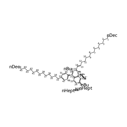 CCCCCCCCCCCCCCCCCCCCCCC=CC(=C=[N+]=[N-])C(CCCC)=C(c1ccc(CCCC)cc1)c1ccc(CCCCCCCCCCCCCCCCCCCCCCC)cc1.CCCCCC[CH2][Ni][CH2]CCCCCC